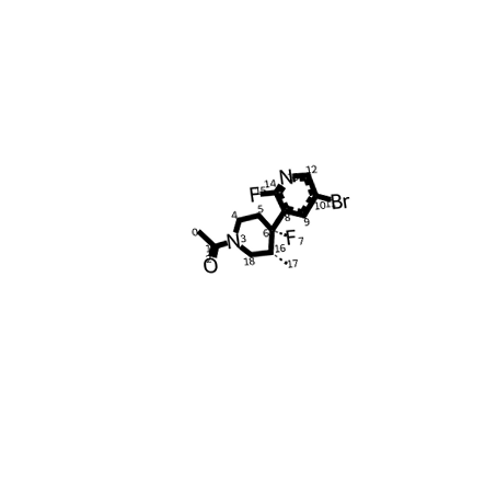 CC(=O)N1CC[C@@](F)(c2cc(Br)cnc2F)[C@H](C)C1